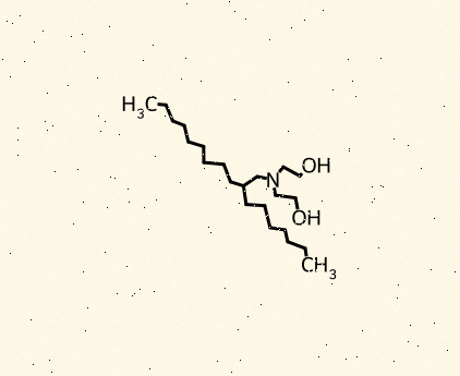 CCCCCCCCCC(CCCCCCC)CN(CCO)CCO